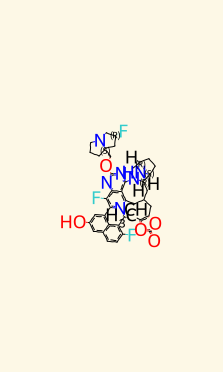 C#Cc1c(F)ccc2cc(O)cc(-c3nc4c5c(nc(OC[C@@]67CCCN6C[C@H](F)C7)nc5c3F)N3C[C@H]5CC[C@H](N5)[C@H]3CC(Cc3oc(=O)oc3C)C4)c12